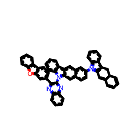 C1=CC2=Cc3c(c4ccccc4n3-c3ccc4cc5c(cc4c3)c3ccccc3n5-c3nc4ccccc4nc3-c3ccc4c(c3)oc3ccccc34)CC2C=C1